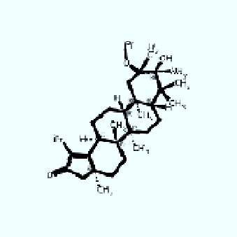 CC(C)OC1(C)C[C@]2(C)[C@H]3CC[C@@H]4C5=C(C(C)C)C(=O)C[C@]5(C)CC[C@@]4(C)[C@]3(C)CC[C@H]2C(C)(C)[C@@]1(N)O